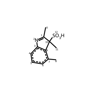 CC1=Nc2cccc(C)c2C1(C)S(=O)(=O)O